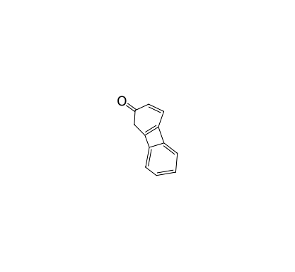 O=C1C=CC2=C(C1)c1ccccc12